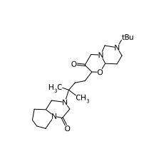 CC(C)(C)N1CCC2OC(CCC(C)(C)N3CC(=O)N4CCCCC4C3)C(=O)CN2C1